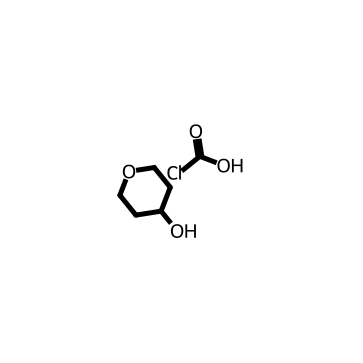 O=C(O)Cl.OC1CCOCC1